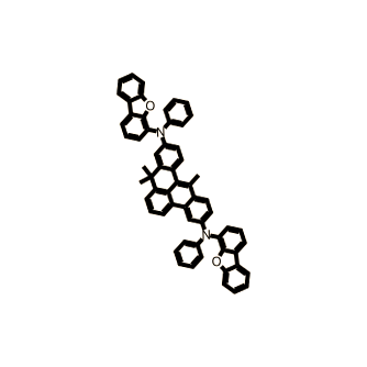 Cc1c2c3c(cccc3c3cc(N(c4ccccc4)c4cccc5c4oc4ccccc45)ccc13)C(C)(C)c1cc(N(c3ccccc3)c3cccc4c3oc3ccccc34)ccc1-2